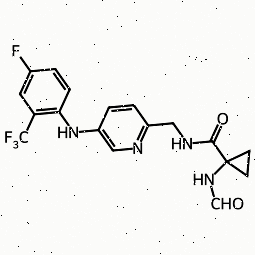 O=CNC1(C(=O)NCc2ccc(Nc3ccc(F)cc3C(F)(F)F)cn2)CC1